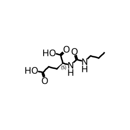 CCCNC(=O)N[C@@H](CCC(=O)O)C(=O)O